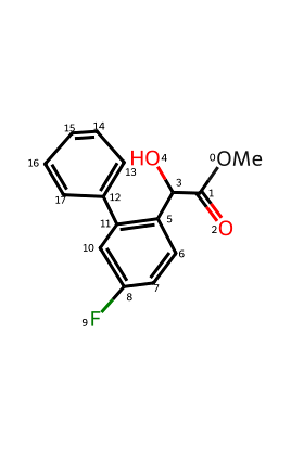 COC(=O)C(O)c1ccc(F)cc1-c1ccccc1